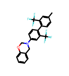 Cc1ccc(-c2ccc(N3COc4ccccc4C3)cc2C(F)(F)F)c(C(F)(F)F)c1